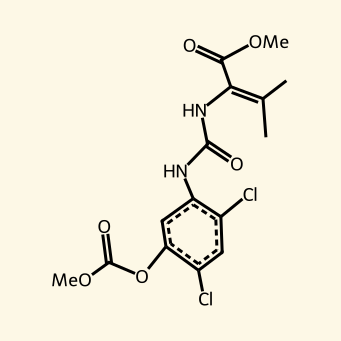 COC(=O)Oc1cc(NC(=O)NC(C(=O)OC)=C(C)C)c(Cl)cc1Cl